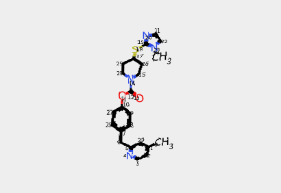 Cc1ccnc(Cc2ccc(OC(=O)N3CCC(Sc4nccn4C)CC3)cc2)c1